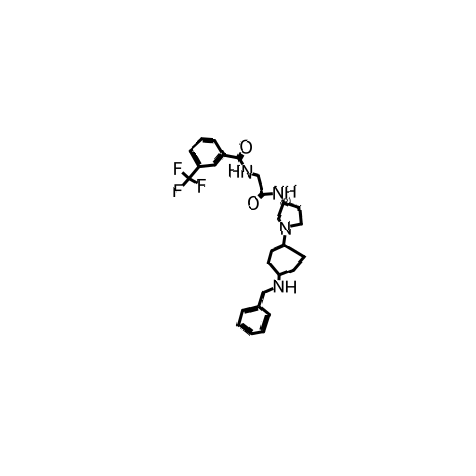 O=C(CNC(=O)c1cccc(C(F)(F)F)c1)N[C@@H]1CCN(C2CCC(NCc3ccccc3)CC2)C1